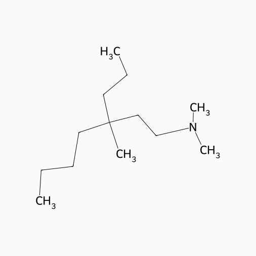 CCCCC(C)(CCC)CCN(C)C